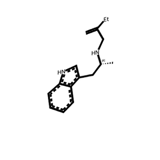 C=C(CC)CN[C@H](C)Cc1c[nH]c2ccccc12